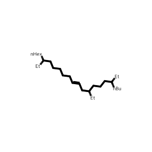 [CH2]CCCCCC(CC)CCCCCC=CCC(CC)CCCC(CC)CCC[CH2]